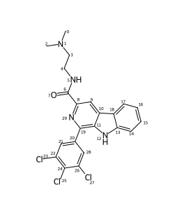 CN(C)CCNC(=O)c1cc2c([nH]c3ccccc32)c(-c2cc(Cl)c(Cl)c(Cl)c2)n1